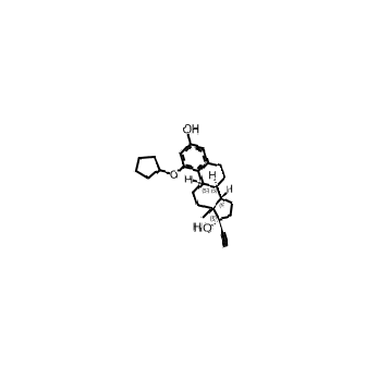 C#C[C@]1(O)CC[C@H]2[C@@H]3CCc4cc(O)cc(OC5CCCC5)c4[C@H]3CCC21C